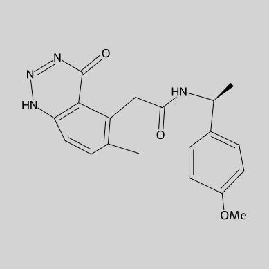 COc1ccc([C@H](C)NC(=O)Cc2c(C)ccc3[nH]nnc(=O)c23)cc1